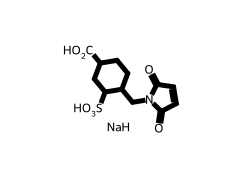 O=C(O)C1CCC(CN2C(=O)C=CC2=O)C(S(=O)(=O)O)C1.[NaH]